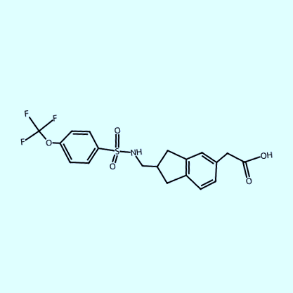 O=C(O)Cc1ccc2c(c1)CC(CNS(=O)(=O)c1ccc(OC(F)(F)F)cc1)C2